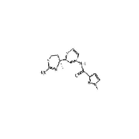 Cn1ccc(C(=O)Nc2ccnc([C@]3(C)CCSC(N)=N3)c2)n1